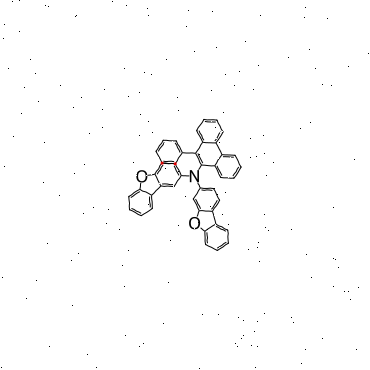 c1ccc(-c2c(N(c3ccc4c(c3)oc3ccccc34)c3ccc4oc5ccccc5c4c3)c3ccccc3c3ccccc23)cc1